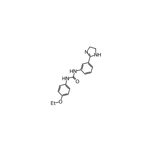 CCOc1ccc(NC(=O)Nc2cccc(C3=NCCN3)c2)cc1